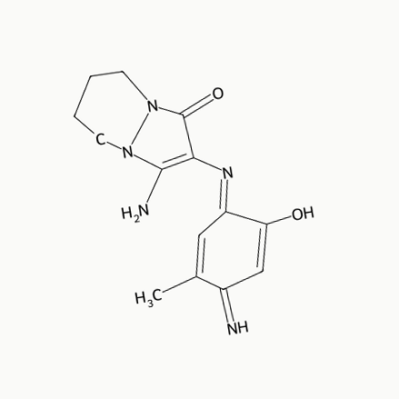 CC1=CC(=Nc2c(N)n3n(c2=O)CCCC3)C(O)=CC1=N